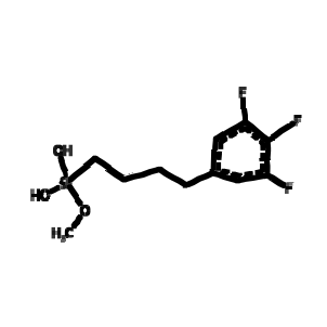 CO[Si](O)(O)CCCCc1cc(F)c(F)c(F)c1